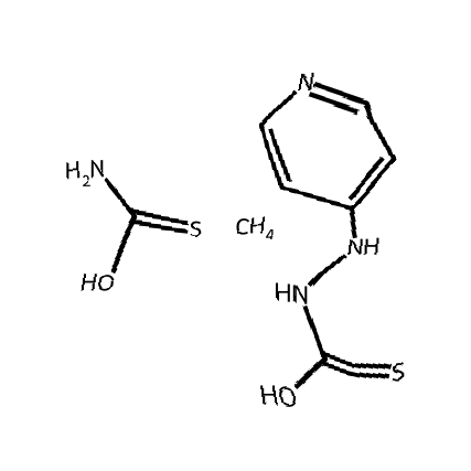 C.NC(O)=S.OC(=S)NNc1ccncc1